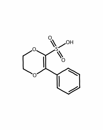 O=S(=O)(O)C1=C(c2ccccc2)OCCO1